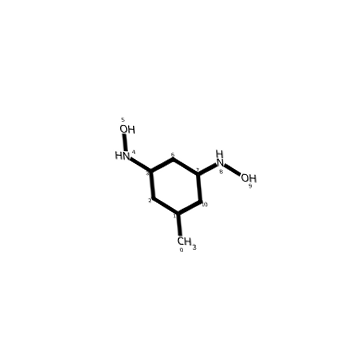 CC1CC(NO)CC(NO)C1